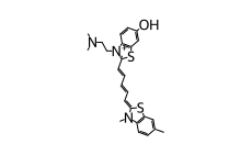 Cc1ccc2c(c1)S\C(=C/C=C/C=C/c1sc3cc(O)ccc3[n+]1CCN(C)C)N2C